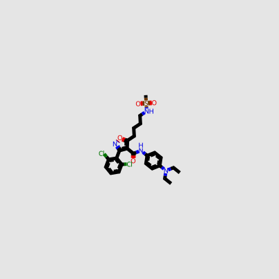 CCN(CC)c1ccc(NC(=O)c2c(-c3c(Cl)cccc3Cl)noc2CCCCNS(C)(=O)=O)cc1